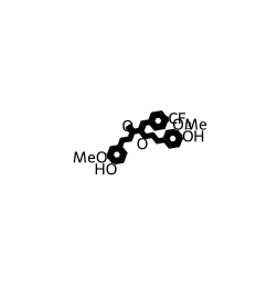 COc1cc(CCC(=O)C(=Cc2ccc(C(F)(F)F)cc2)C(=O)CCc2ccc(O)c(OC)c2)ccc1O